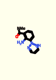 CNC(=O)c1cccc(N2N=CC=CN2)c1N